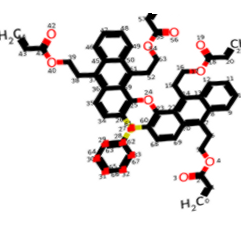 C=CC(=O)OCCc1c2ccccc2c(CCOC(=O)C=C)c2c(Oc3c(Sc4ccccc4)ccc4c(CCOC(=O)C=C)c5ccccc5c(CCOC(=O)C=C)c34)c(Sc3ccccc3)ccc12